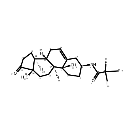 C[C@]12CC[C@H](NC(=O)C(F)(F)F)CC1=CC[C@@H]1[C@@H]2CC[C@]2(C)C(=O)CC[C@@H]12